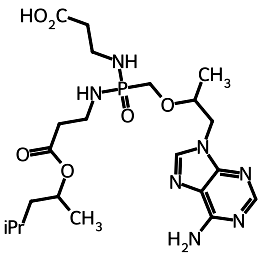 CC(C)CC(C)OC(=O)CCNP(=O)(COC(C)Cn1cnc2c(N)ncnc21)NCCC(=O)O